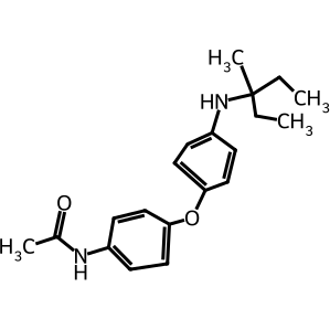 CCC(C)(CC)Nc1ccc(Oc2ccc(NC(C)=O)cc2)cc1